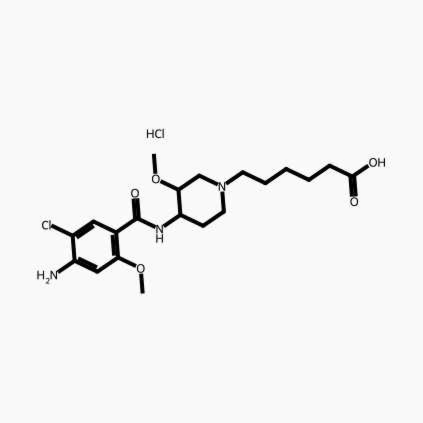 COc1cc(N)c(Cl)cc1C(=O)NC1CCN(CCCCCC(=O)O)CC1OC.Cl